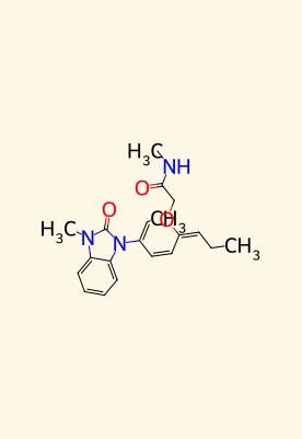 C\C=C(/C=C\C(=C/CC)OCC(=O)NC)n1c(=O)n(C)c2ccccc21